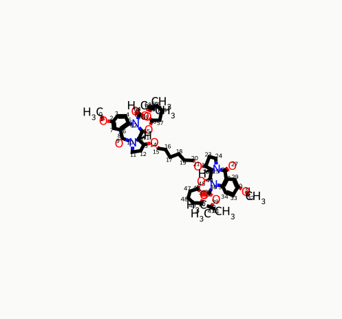 COc1ccc2c(c1)C(=O)N1CCC(OCCCCCCOC3CCN4C(=O)c5cc(OC)ccc5N(C(=O)OC(C)(C)C)[C@@H](OC5CCCCO5)[C@H]34)[C@H]1[C@H](OC1CCCCO1)N2C(=O)OC(C)(C)C